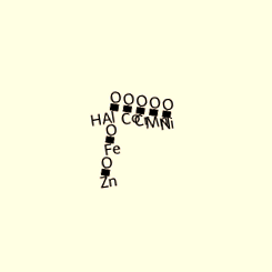 [O]=[AlH].[O]=[Co].[O]=[Cr].[O]=[Fe].[O]=[Mn].[O]=[Ni].[O]=[Zn]